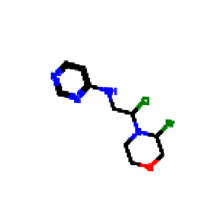 ClC(CNc1ccncn1)N1CCOCC1Br